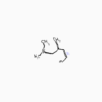 C=C(/C=C\C(C)C)CN(C)C